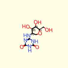 O=c1nc(N[C@@H]2CO[C@H](CO)[C@H](O)[C@@H]2O)[nH]c(=O)[nH]1